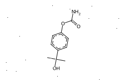 CC(C)(O)c1ccc(OC(N)=O)cc1